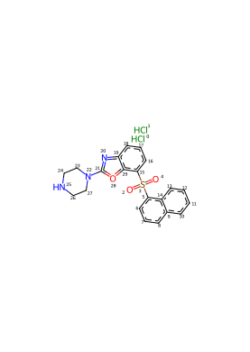 Cl.Cl.O=S(=O)(c1cccc2ccccc12)c1cccc2nc(N3CCNCC3)oc12